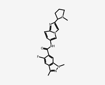 Cc1nn(C)c2cc(C(=O)Nc3ccc4nc(C5CCCN5C)cn4c3)c(F)cc12